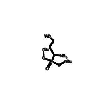 CCCCOP(=O)(OCCCC)C(N)CCO